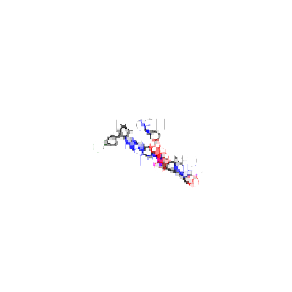 CN(C)Cc1cccc(Oc2cc(N3CCN(Cc4ccccc4-c4ccc(Cl)cc4)CC3)ccc2C(=O)NS(=O)(=O)c2ccc(NCC3CCOCC3)c([N+](=O)[O-])c2)c1